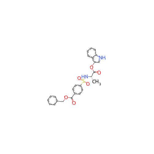 C[C@H](NS(=O)(=O)c1ccc(C(=O)OCc2ccccc2)cc1)C(=O)Oc1c[nH]c2ccccc12